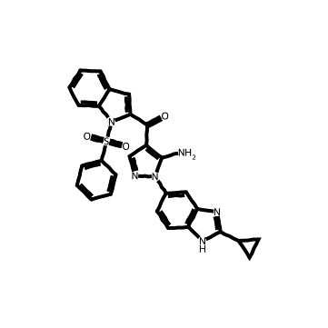 Nc1c(C(=O)c2cc3ccccc3n2S(=O)(=O)c2ccccc2)cnn1-c1ccc2[nH]c(C3CC3)nc2c1